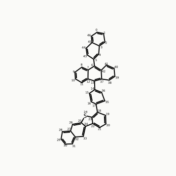 c1ccc2cc(-c3c4ccccc4c(-c4ccc(-c5cccc6c5sc5cc7ccccc7cc56)cc4)c4ccccc34)ccc2c1